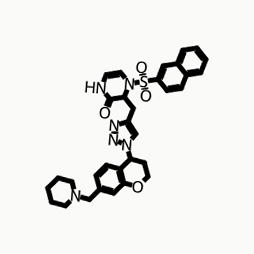 O=C1NC=CN(S(=O)(=O)c2ccc3ccccc3c2)C1Cc1cn(C2CCOc3cc(CN4CCCCC4)ccc32)nn1